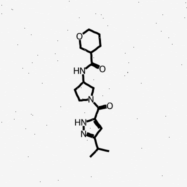 CC(C)c1cc(C(=O)N2CCC(NC(=O)C3CCCOC3)C2)[nH]n1